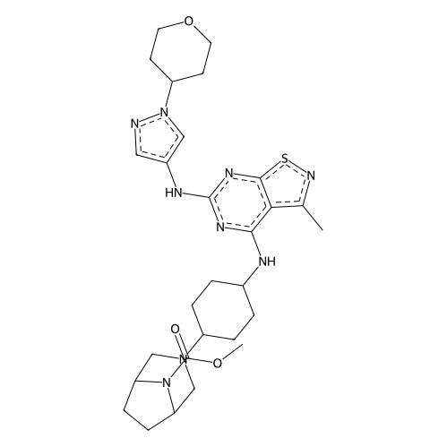 COC(=O)N1C2CCC1CN(C1CCC(Nc3nc(Nc4cnn(C5CCOCC5)c4)nc4snc(C)c34)CC1)C2